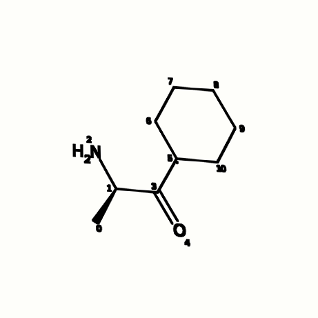 C[C@@H](N)C(=O)[C]1CCCCC1